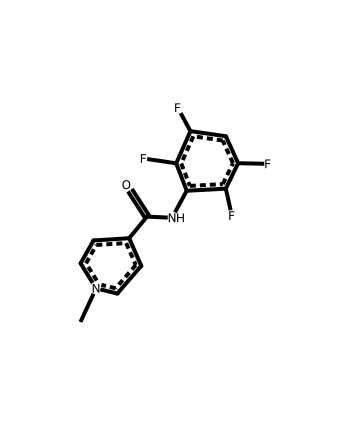 C[n+]1ccc(C(=O)Nc2c(F)c(F)cc(F)c2F)cc1